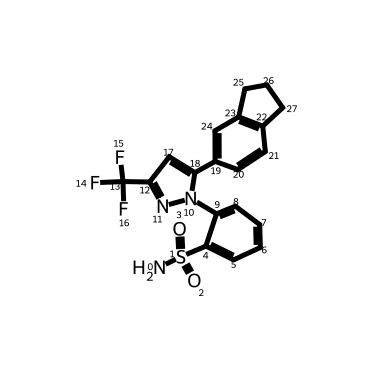 NS(=O)(=O)c1ccccc1-n1nc(C(F)(F)F)cc1-c1ccc2c(c1)CCC2